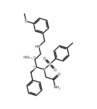 COc1cccc(CNC[C@@H](O)[C@H](Cc2ccccc2)N(CC(N)=O)S(=O)(=O)c2ccc(C)cc2)c1